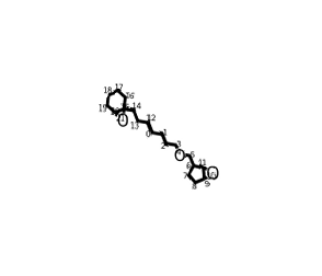 C(CCCOCC1CCC2OC12)CCCC12CCCCC1O2